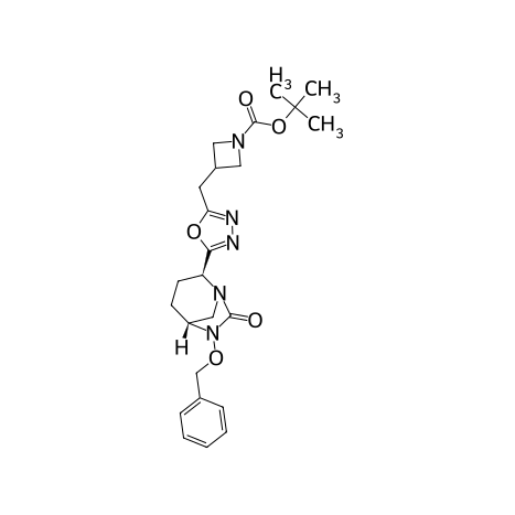 CC(C)(C)OC(=O)N1CC(Cc2nnc([C@@H]3CC[C@@H]4CN3C(=O)N4OCc3ccccc3)o2)C1